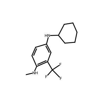 CNc1ccc(NC2CCCCC2)cc1C(F)(F)F